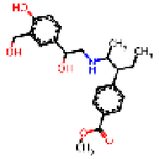 CCC(c1ccc(C(=O)OC)cc1)C(C)NCC(O)c1ccc(O)c(CO)c1